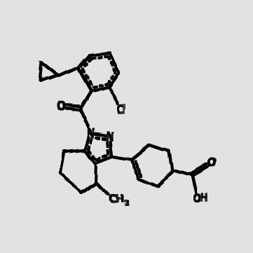 CC1CCCc2c1c(C1=CCC(C(=O)O)CC1)nn2C(=O)c1c(Cl)cccc1C1CC1